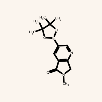 CN1Cc2ncc(B3OC(C)(C)C(C)(C)O3)cc2C1=O